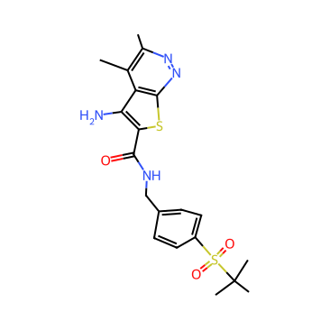 Cc1nnc2sc(C(=O)NCc3ccc(S(=O)(=O)C(C)(C)C)cc3)c(N)c2c1C